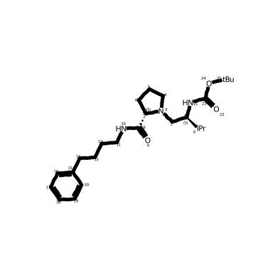 CC(C)[C@@H](CN1CCC[C@H]1C(=O)NCCCCc1ccccc1)NC(=O)OC(C)(C)C